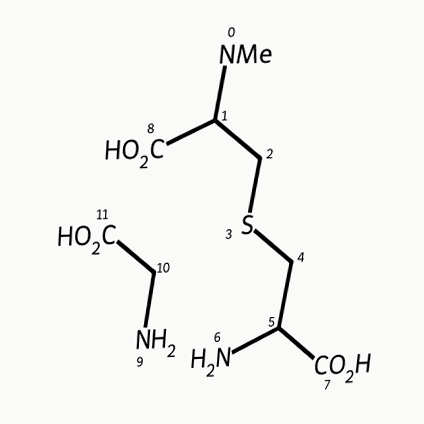 CNC(CSCC(N)C(=O)O)C(=O)O.NCC(=O)O